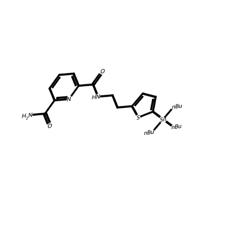 CCC[CH2][Sn]([CH2]CCC)([CH2]CCC)[c]1ccc(CCNC(=O)c2cccc(C(N)=O)n2)s1